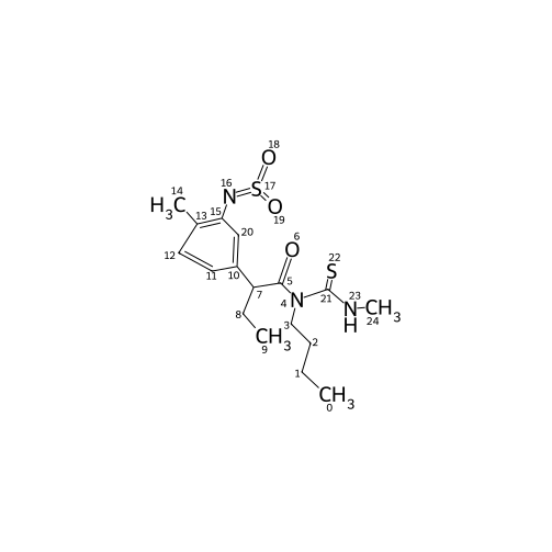 CCCCN(C(=O)C(CC)c1ccc(C)c(N=S(=O)=O)c1)C(=S)NC